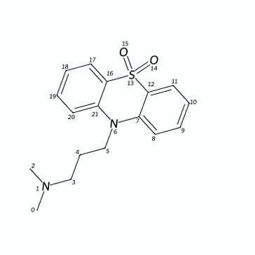 CN(C)CCCN1c2ccccc2S(=O)(=O)c2ccccc21